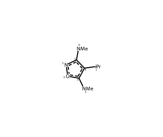 CNc1noc(NC)c1C(C)C